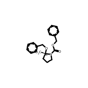 O=C(OCc1ccccc1)N1CCC[C@@]1(OCc1ccccc1)C(=O)O